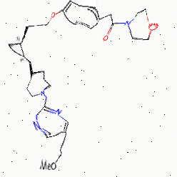 COCc1cnc(N2CCC([C@H]3C[C@H]3CCOc3ccc(CC(=O)N4CCOCC4)cc3)CC2)nc1